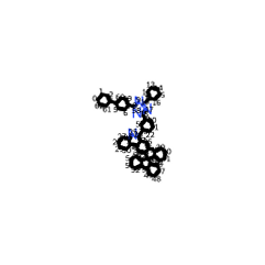 c1ccc(-c2ccc(-c3nc(-c4ccccc4)nc(-c4cccc(-c5nc6ccccc6c6cc7c(cc56)-c5ccccc5C75c6ccccc6-c6ccccc65)c4)n3)cc2)cc1